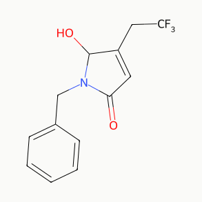 O=C1C=C(CC(F)(F)F)C(O)N1Cc1ccccc1